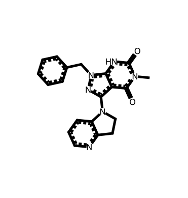 Cn1c(=O)[nH]c2c(c(N3CCc4ncccc43)nn2Cc2ccccc2)c1=O